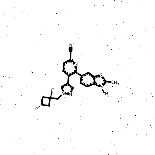 Cc1nc2cc(-c3nc(C#N)ccc3-c3cnn(C[C@]4(F)C[C@H](F)C4)c3)ccc2n1C